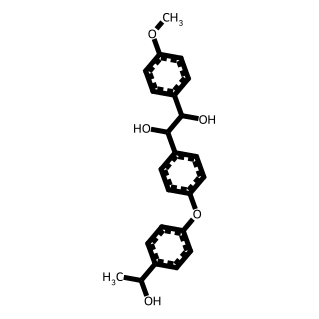 COc1ccc(C(O)C(O)c2ccc(Oc3ccc(C(C)O)cc3)cc2)cc1